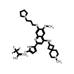 COc1cc2c(NC3CC4(CCN(C)CC4)C3)cc(-c3ccc(C)[nH]3)nc2cc1OCCCN1CCCC1.O=C(O)C(F)(F)F